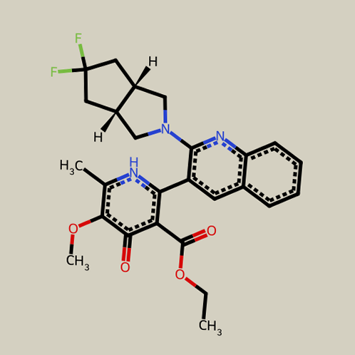 CCOC(=O)c1c(-c2cc3ccccc3nc2N2C[C@@H]3CC(F)(F)C[C@@H]3C2)[nH]c(C)c(OC)c1=O